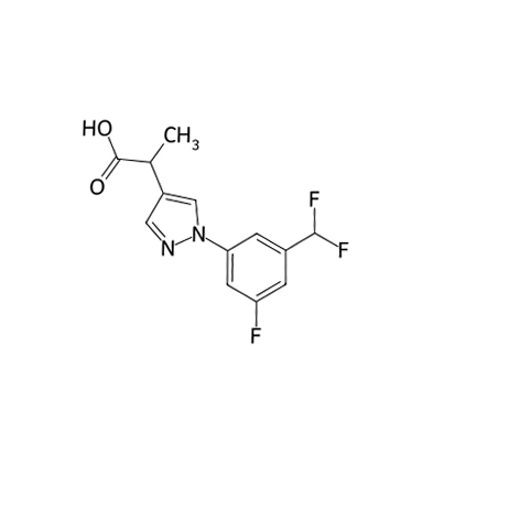 CC(C(=O)O)c1cnn(-c2cc(F)cc(C(F)F)c2)c1